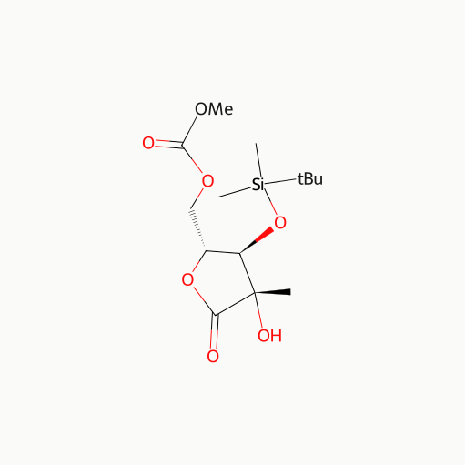 COC(=O)OC[C@H]1OC(=O)[C@@](C)(O)[C@@H]1O[Si](C)(C)C(C)(C)C